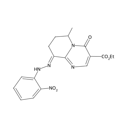 CCOC(=O)c1cnc2n(c1=O)C(C)CCC2=NNc1ccccc1[N+](=O)[O-]